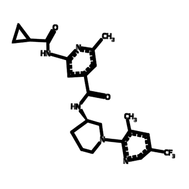 Cc1cc(C(=O)N[C@@H]2CCCN(c3ncc(C(F)(F)F)cc3C)C2)cc(NC(=O)C2CC2)n1